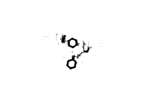 NS(=O)(=O)c1ccc(-n2nc(C(F)(F)F)cc2-c2nc3c(F)cccc3s2)cc1